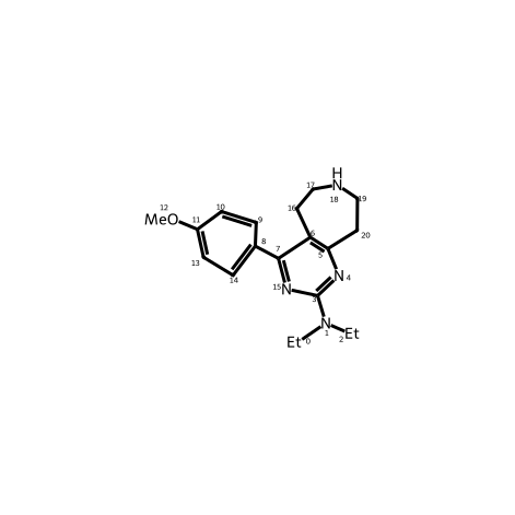 CCN(CC)c1nc2c(c(-c3ccc(OC)cc3)n1)CCNCC2